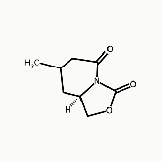 CC1CC(=O)N2C(=O)OC[C@H]2C1